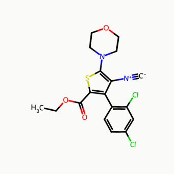 [C-]#[N+]c1c(N2CCOCC2)sc(C(=O)OCC)c1-c1ccc(Cl)cc1Cl